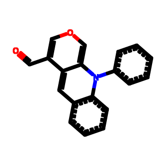 O=CC1=COC=C2C1=Cc1ccccc1N2c1ccccc1